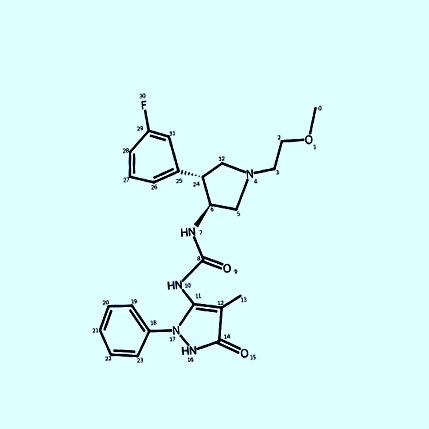 COCCN1C[C@@H](NC(=O)Nc2c(C)c(=O)[nH]n2-c2ccccc2)[C@H](c2cccc(F)c2)C1